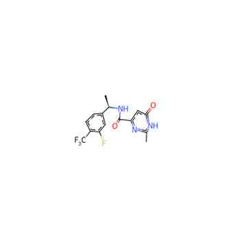 Cc1nc(C(=O)N[C@H](C)c2ccc(C(F)(F)F)c(F)c2)cc(=O)[nH]1